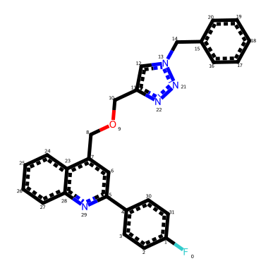 Fc1ccc(-c2cc(COCc3cn(Cc4ccccc4)nn3)c3ccccc3n2)cc1